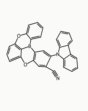 N#Cc1cc2c(cc1-n1c3ccccc3c3ccccc31)B1c3ccccc3Oc3cccc(c31)O2